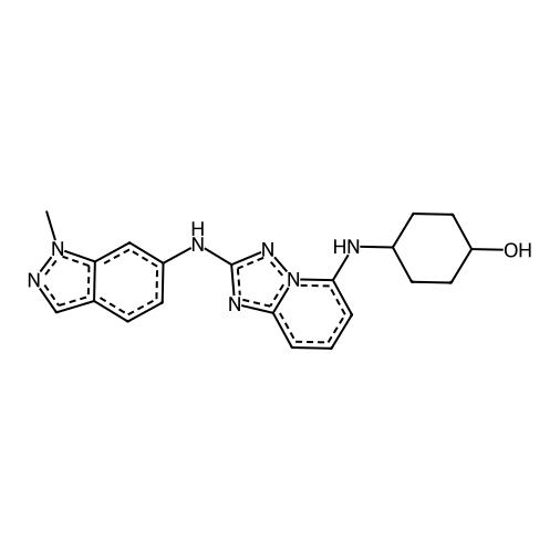 Cn1ncc2ccc(Nc3nc4cccc(NC5CCC(O)CC5)n4n3)cc21